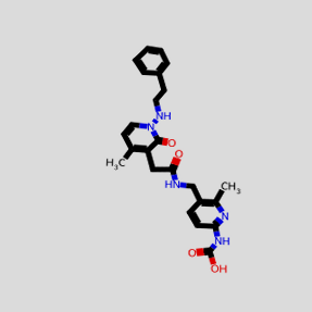 Cc1ccn(NCCc2ccccc2)c(=O)c1CC(=O)NCc1ccc(NC(=O)O)nc1C